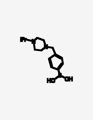 CC(C)N1CCN(Cc2ccc(B(O)O)cc2)CC1